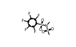 CN(S(C)(=O)=O)S(=O)(=O)c1c(F)c(F)c(F)c(F)c1F